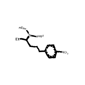 CCCCCCCCCCN(CCCCCCC)C(CC)CCCc1ccc([N+](=O)[O-])cc1